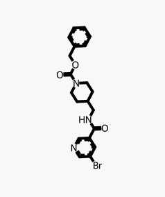 O=C(NCC1CCN(C(=O)OCc2ccccc2)CC1)c1cncc(Br)c1